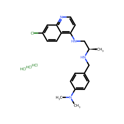 C[C@H](CNc1ccnc2cc(Cl)ccc12)NCc1ccc(N(C)C)cc1.Cl.Cl.Cl